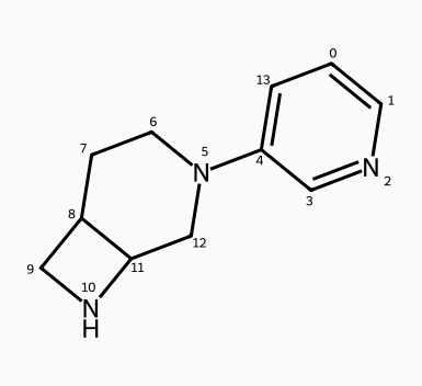 c1cncc(N2CCC3CNC3C2)c1